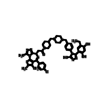 CCc1cc(-c2nnc(O)n2-c2ccc(CN3CCN(CC4CCN(C(=O)C[C@H]5N=C(c6ccc(Cl)cc6)c6c(sc(C)c6C)-n6c(C)nnc65)CC4)CC3)cc2)c(O)cc1O